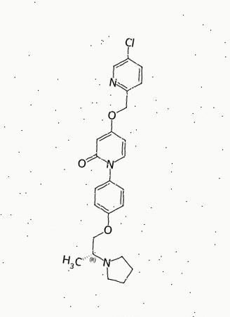 C[C@H](COc1ccc(-n2ccc(OCc3ccc(Cl)cn3)cc2=O)cc1)N1CCCC1